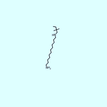 CCC(C)(C)CNCCCCCCCCCCCCN